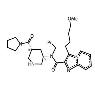 COCCCCc1c(C(=O)N(CC(C)C)[C@@H]2CNC[C@H](C(=O)N3CCCC3)C2)nc2ccccn12